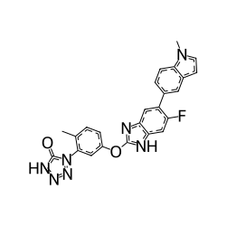 Cc1ccc(Oc2nc3cc(-c4ccc5c(ccn5C)c4)c(F)cc3[nH]2)cc1-n1nn[nH]c1=O